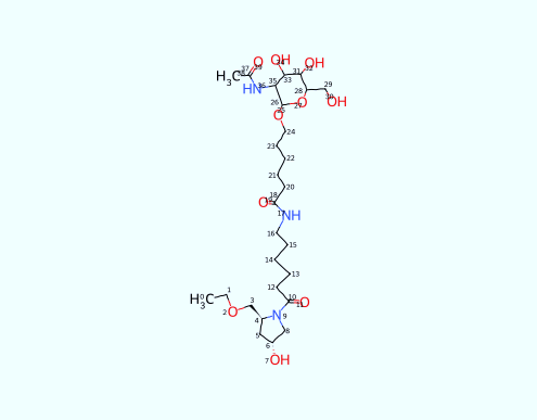 CCOC[C@@H]1C[C@@H](O)CN1C(=O)CCCCCNC(=O)CCCCCOC1OC(CO)C(O)C(O)C1NC(C)=O